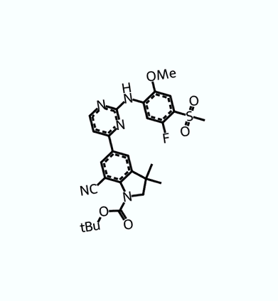 COc1cc(S(C)(=O)=O)c(F)cc1Nc1nccc(-c2cc(C#N)c3c(c2)C(C)(C)CN3C(=O)OC(C)(C)C)n1